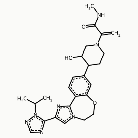 C=C(C(=O)NC)N1CCC(c2ccc3c(c2)OCCn2cc(-c4ncnn4C(C)C)nc2-3)C(O)C1